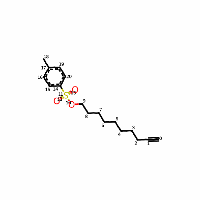 C#CCCCCCCCCOS(=O)(=O)c1ccc(C)cc1